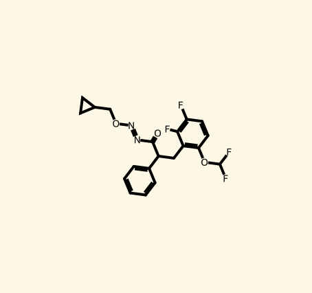 O=C(N=NOCC1CC1)C(Cc1c(OC(F)F)ccc(F)c1F)c1ccccc1